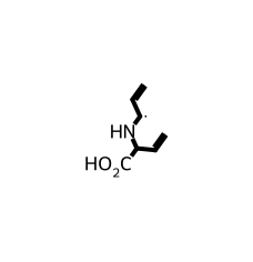 C=C[CH]NC(C=C)C(=O)O